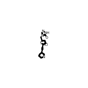 Cl.O=c1[nH]ncn1Cc1ccc(C#Cc2cccnc2)s1